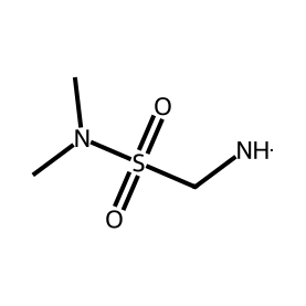 CN(C)S(=O)(=O)C[NH]